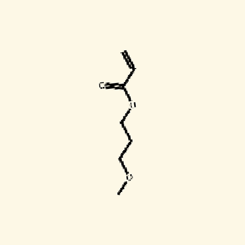 C=CC(=O)OCCCOC